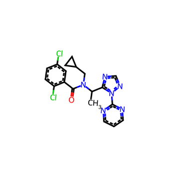 CC(c1ncnn1-c1ncccn1)N(CC1CC1)C(=O)c1cc(Cl)ccc1Cl